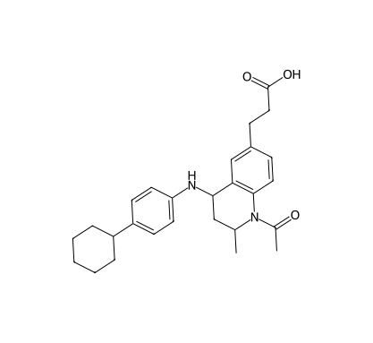 CC(=O)N1c2ccc(CCC(=O)O)cc2C(Nc2ccc(C3CCCCC3)cc2)CC1C